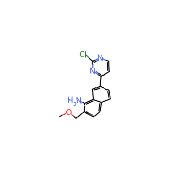 COCc1ccc2ccc(-c3ccnc(Cl)n3)cc2c1N